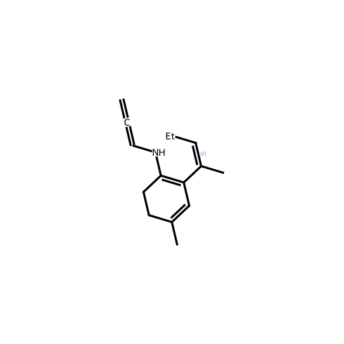 C=C=CNC1=C(/C(C)=C\CC)C=C(C)CC1